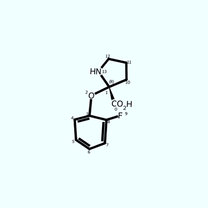 O=C(O)[C@]1(Oc2ccccc2F)CCCN1